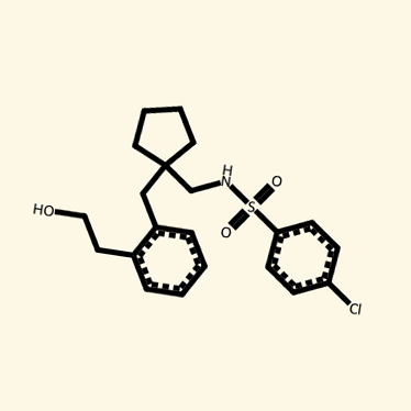 O=S(=O)(NCC1(Cc2ccccc2CCO)CCCC1)c1ccc(Cl)cc1